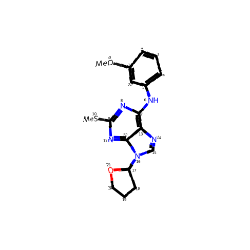 COc1cccc(Nc2nc(SC)nc3c2ncn3C2CCCO2)c1